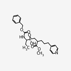 CCC(NC(=O)OCc1ccccc1)P(=O)(O)CC(CCCc1ccncc1)C(=O)OC